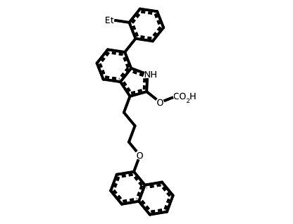 CCc1ccccc1-c1cccc2c(CCCOc3cccc4ccccc34)c(OC(=O)O)[nH]c12